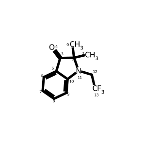 CC1(C)C(=O)c2ccccc2N1CC(F)(F)F